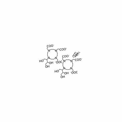 O=C([O-])CN1CCN(CC(=O)[O-])CCN(C(CO)C(O)CO)CCN(CC(=O)[O-])CC1.O=C([O-])CN1CCN(CC(=O)[O-])CCN(C(CO)C(O)CO)CCN(CC(=O)[O-])CC1.[Ca+2].[Ca+2].[Ca+2]